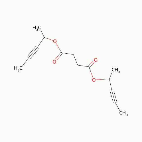 CC#CC(C)OC(=O)CCC(=O)OC(C)C#CC